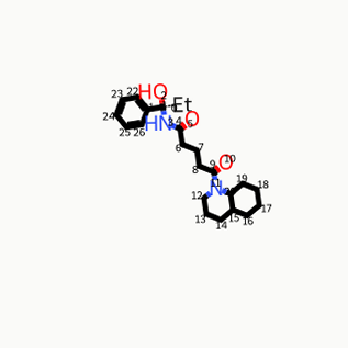 CC[C@](O)(NC(=O)CCCC(=O)N1CCCC2CCCCC21)c1ccccc1